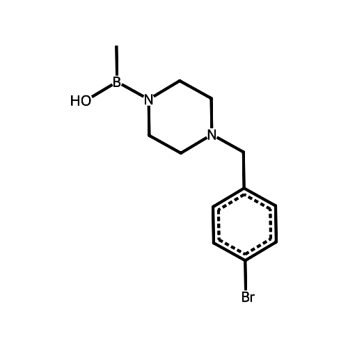 CB(O)N1CCN(Cc2ccc(Br)cc2)CC1